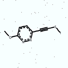 COc1ccc(C#CSI)nn1